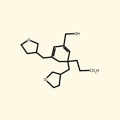 O=C(O)CCC1(CC2CCOC2)C=C(CO)C=C(CC2CCOC2)C1